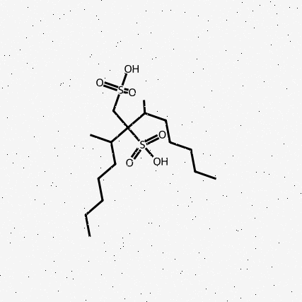 CCCCCC(C)C(CS(=O)(=O)O)(C(C)CCCCC)S(=O)(=O)O